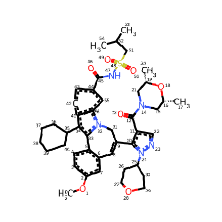 COc1ccc2c(c1)C=C(c1c(C(=O)N3C[C@@H](C)O[C@@H](C)C3)cnn1C1CCOCC1)Cn1c-2c(C2CCCCC2)c2ccc(C(=O)NS(=O)(=O)CC(C)C)cc21